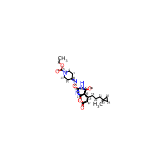 CCOC(=O)N1CCC(=NOc2nc3oc(=O)cc(CCCC4(C)CC4)c3c(=O)[nH]2)CC1